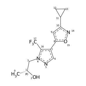 C[C@@H](O)Cn1ncc(-c2cc(C3CC3)no2)c1C(F)(F)F